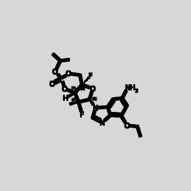 CCOc1cc(N)cc2c1ncn2[C@@H]1O[C@]2(F)COP(=O)(OC(C)C)O[C@H]2[C@@]1(C)F